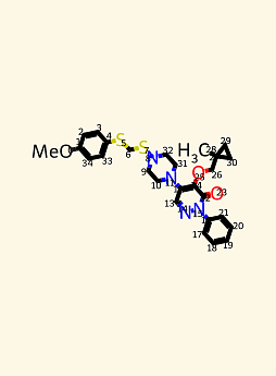 COc1ccc(SCSN2CCN(c3cnn(-c4ccccc4)c(=O)c3OCC3(C)CC3)CC2)cc1